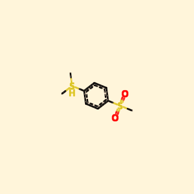 C[SH](C)c1ccc(S(C)(=O)=O)cc1